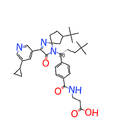 CC(C)(C)CC[C@H](c1ccc(C(=O)NCCC(=O)O)cc1)N1C(=O)C(c2cncc(C3CC3)c2)=NC12CCC(C(C)(C)C)C2